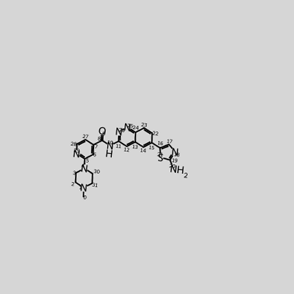 CN1CCN(c2cc(C(=O)Nc3cc4cc(-c5cnc(N)s5)ccc4nn3)ccn2)CC1